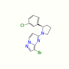 Clc1cccc([C@H]2CCCN2c2ccn3ncc(Br)c3n2)c1